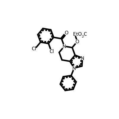 CCOC(=O)OC1c2ncn(-c3ccccc3)c2CCN1C(=O)c1cccc(Cl)c1Cl